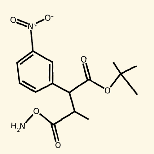 CC(C(=O)ON)C(C(=O)OC(C)(C)C)c1cccc([N+](=O)[O-])c1